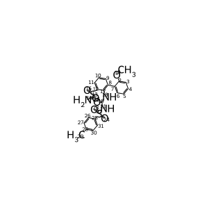 COc1ccccc1-c1cccc(S(N)(=O)=O)c1NC(=O)NS(=O)(=O)c1ccc(C)cc1